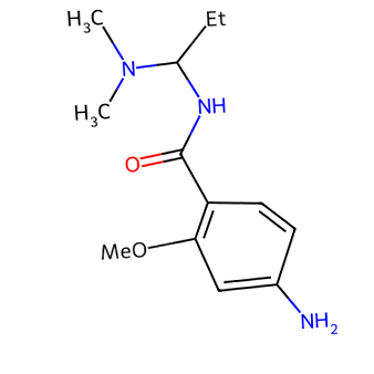 CCC(NC(=O)c1ccc(N)cc1OC)N(C)C